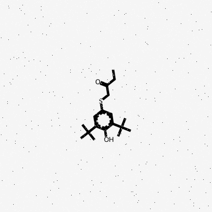 CCC(=O)CSc1cc(C(C)(C)C)c(O)c(C(C)(C)C)c1